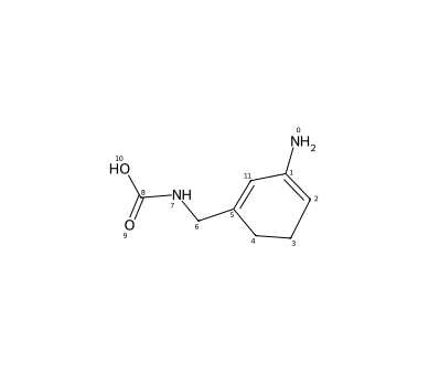 NC1=CCCC(CNC(=O)O)=C1